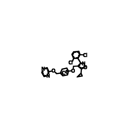 Clc1cccc(Cl)c1-c1noc(C2CC2)c1COC12CCC(COc3cnccn3)(CC1)CC2